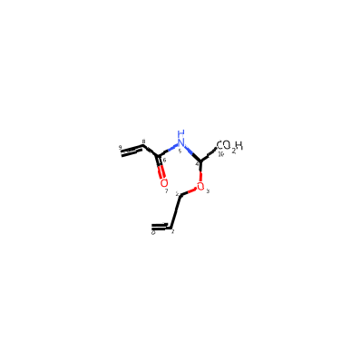 C=CCOC(NC(=O)C=C)C(=O)O